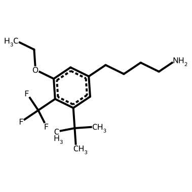 CCOc1cc(CCCCN)cc(C(C)(C)C)c1C(F)(F)F